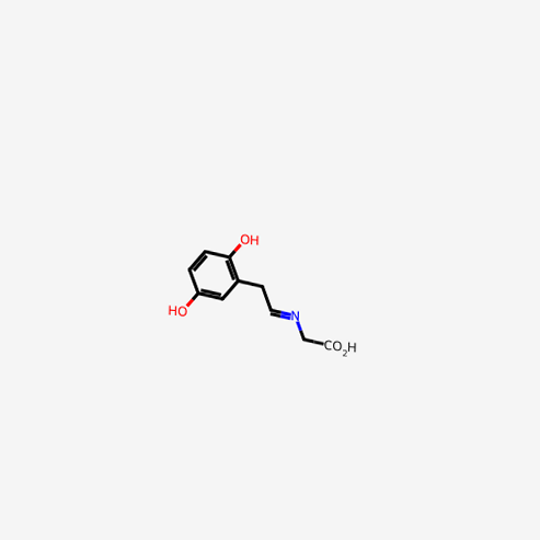 O=C(O)CN=CCc1cc(O)ccc1O